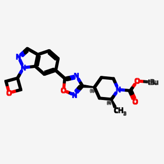 C[C@H]1C[C@@H](c2noc(-c3ccc4cnn(C5COC5)c4c3)n2)CCN1C(=O)OC(C)(C)C